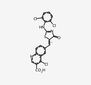 O=C1N=C(Nc2c(Cl)cccc2Cl)S/C1=C\c1ccc2ncc(C(=O)O)c(Cl)c2c1